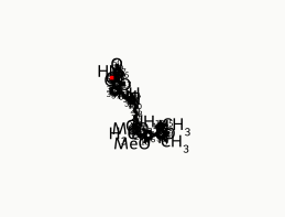 COc1cc(-c2cn(C)c(=O)c3c2ccn3C)cc(OC)c1CN(C)CC(=O)NCCCCn1cc(CNc2cccc3c2C(=O)N(C24CC(C2)C(=O)NC4=O)C3=O)nn1